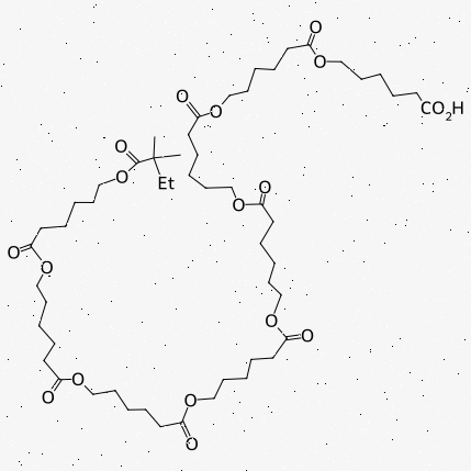 CCC(C)(C)C(=O)OCCCCCC(=O)OCCCCCC(=O)OCCCCCC(=O)OCCCCCC(=O)OCCCCCC(=O)OCCCCCC(=O)OCCCCCC(=O)OCCCCCC(=O)O